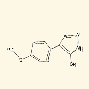 COc1ccc(-c2nn[nH]c2O)cc1